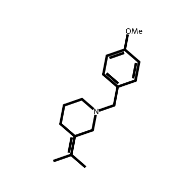 COc1ccc(CN2CCCC(=C(C)C)C2)cc1